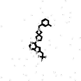 CC1C=C(CN2CC3(CCN(c4ncnc5sc(CC(F)(F)F)cc45)C3)C2)C=CC1